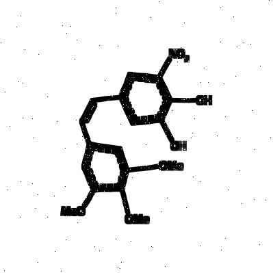 COc1cc(/C=C\c2cc(O)c(O)c([N+](=O)[O-])c2)cc(OC)c1OC